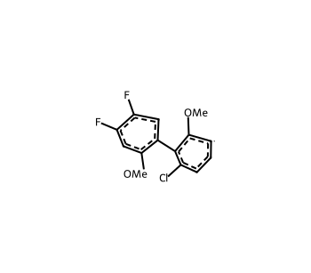 COc1[c]ccc(Cl)c1-c1cc(F)c(F)cc1OC